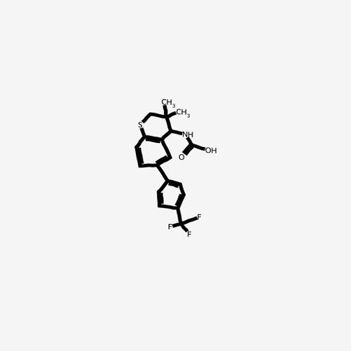 CC1(C)CSc2ccc(-c3ccc(C(F)(F)F)cc3)cc2C1NC(=O)O